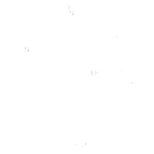 CCC(=O)O.CCOC(=O)C=Cc1ccc2[nH]c(=O)c3[nH]ccc3c2c1